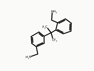 NCc1cccc(C(c2ccccc2CN)(C(F)(F)F)C(F)(F)F)c1